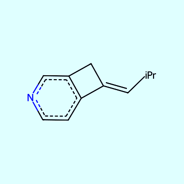 CC(C)/C=C1\Cc2cnccc21